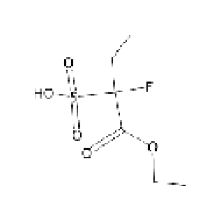 CCOC(=O)C(F)(CC)S(=O)(=O)O